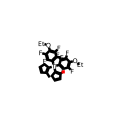 CCOc1c(F)c(F)[c]([Ti]([C]2=C(C)C=CC2)([C]2=C(C)C=CC2)[c]2c(F)c(F)c(OCC)c(F)c2F)c(F)c1F